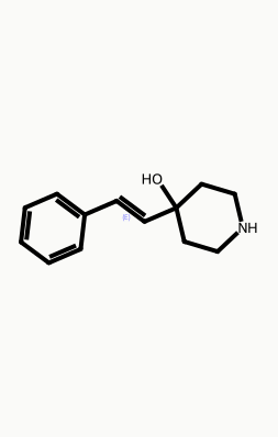 OC1(/C=C/c2ccccc2)CCNCC1